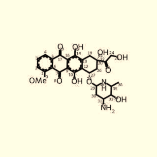 COc1cccc2c1C(=O)c1c(O)c3c(c(O)c1C2=O)C[C@@](O)(C(=O)CO)C[C@@H]3OC1CC(N)C(O)C(C)N1